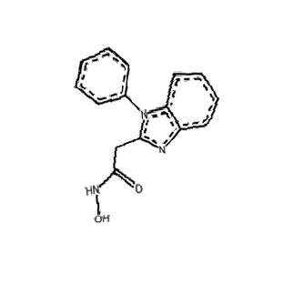 O=C(Cc1nc2ccccc2n1-c1ccccc1)NO